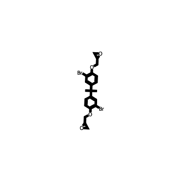 CC(C)(c1ccc(OCC2CO2)c(Br)c1)c1ccc(OCC2CO2)c(Br)c1